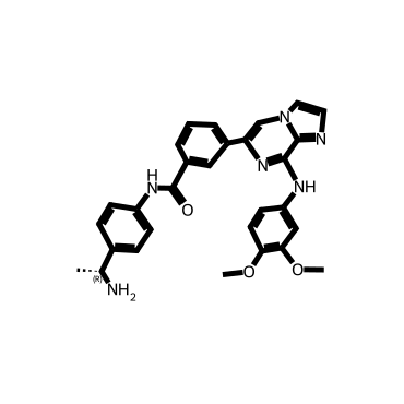 COc1ccc(Nc2nc(-c3cccc(C(=O)Nc4ccc([C@@H](C)N)cc4)c3)cn3ccnc23)cc1OC